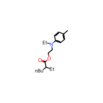 CCCCC(CC)C(=O)OCCN(CC)c1ccc(C)cc1